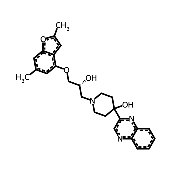 Cc1cc(OC[C@H](O)CN2CCC(O)(c3cnc4ccccc4n3)CC2)c2cc(C)oc2c1